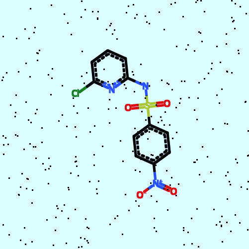 O=[N+]([O-])c1ccc(S(=O)(=O)[N]c2cccc(Cl)n2)cc1